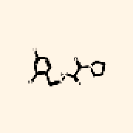 O=C(N/N=C\c1ccc(Cl)cc1Cl)C(=O)N1CCCC1